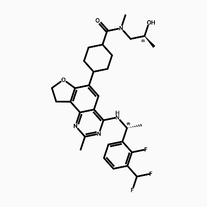 Cc1nc(N[C@H](C)c2cccc(C(F)F)c2F)c2cc(C3CCC(C(=O)N(C)C[C@H](C)O)CC3)c3c(c2n1)CCO3